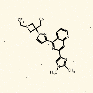 Cc1nc(-c2cc3ncccc3c(-c3ccn(C4(CC#N)CN(CC(F)(F)F)C4)n3)n2)cn1C